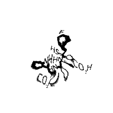 O=C(O)C[C@H](NC(=O)[C@@H](S)Cc1ccc(F)cc1)C(=O)N[C@@H](Cc1c[nH]c2ccccc12)C(=O)O